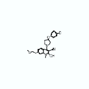 COCCc1ccc2c(c1)N(C)C(O)C(C#N)=C2N1CCC(Oc2ccc(Cl)cc2)CC1